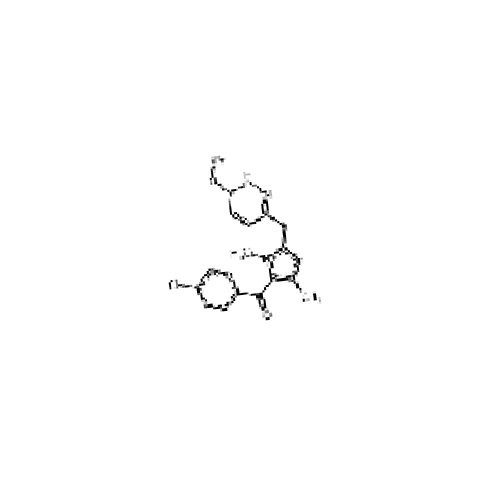 Cc1cc(CC2=NNC(OC(C)C)C=C2)n(C)c1C(=O)c1ccc(Cl)cc1